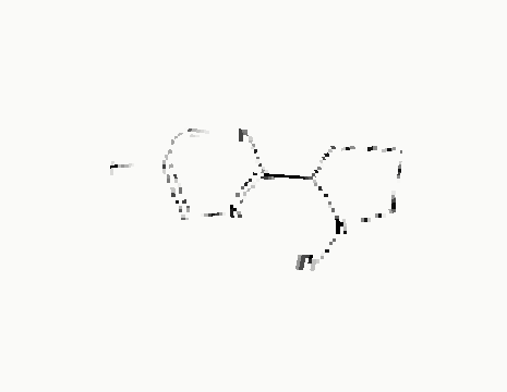 CC(C)N1CCC[C@@H]1c1ncc(F)cn1